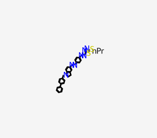 CCCSc1nnc(N=Nc2ccc(N=Nc3ccc4c(c3)CCN4Cc3ccc(-c4ccccc4)cc3)cc2)s1